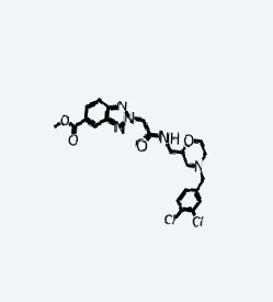 COC(=O)c1ccc2nn(CC(=O)NCC3CN(Cc4ccc(Cl)c(Cl)c4)CCO3)nc2c1